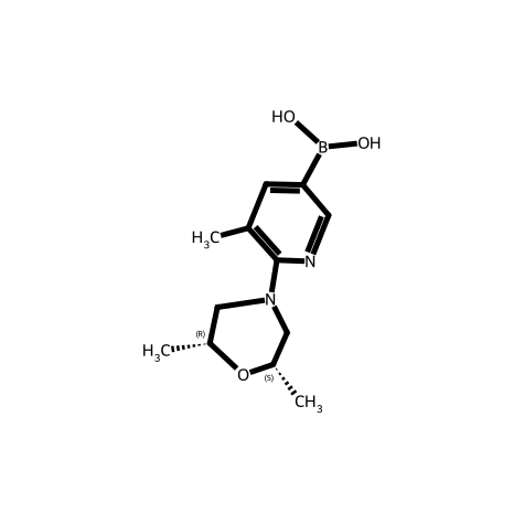 Cc1cc(B(O)O)cnc1N1C[C@@H](C)O[C@@H](C)C1